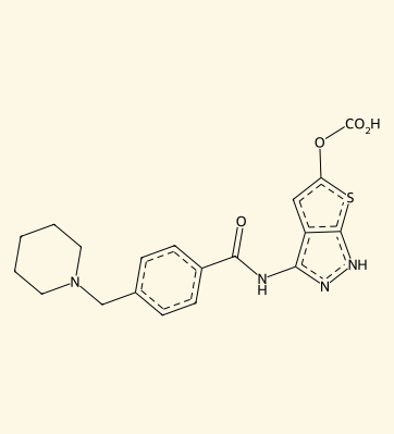 O=C(O)Oc1cc2c(NC(=O)c3ccc(CN4CCCCC4)cc3)n[nH]c2s1